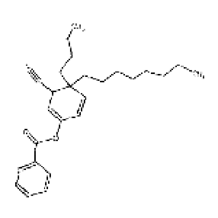 CCCCCCCCC1(CCCC)C=CC(OC(=O)c2ccccc2)=CC1C#N